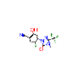 Cn1c(C(F)(F)F)nn(-c2cc(O)c(C#N)cc2F)c1=O